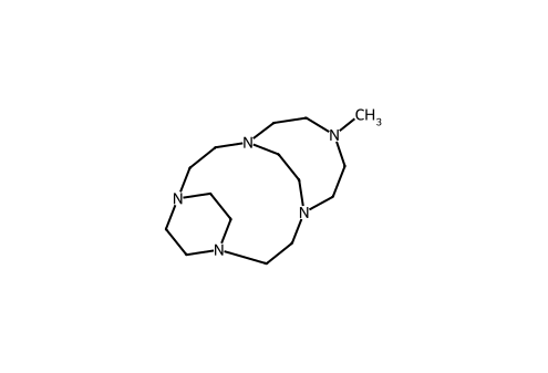 CN1CCN2CCN(CC1)CCN1CCN(CC2)CC1